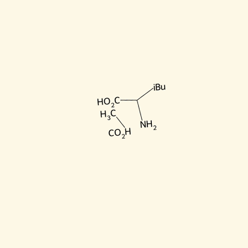 CC(=O)O.CCC(C)C(N)C(=O)O